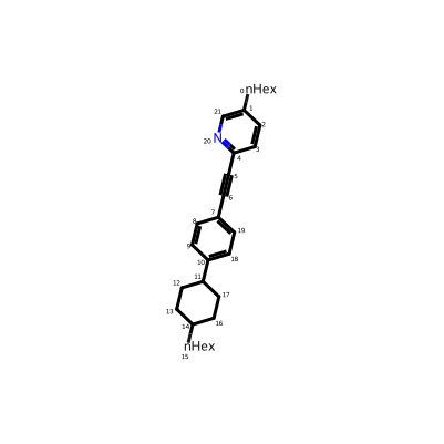 CCCCCCc1ccc(C#Cc2ccc(C3CCC(CCCCCC)CC3)cc2)nc1